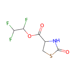 O=C1NC(C(=O)OC(F)C(F)F)CS1